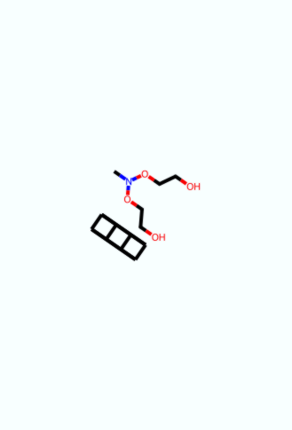 C12C3C4C1C1C2C3C41.CN(OCCO)OCCO